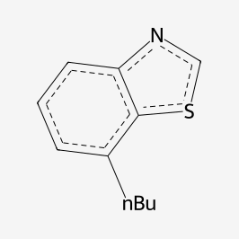 [CH2]CCCc1cccc2ncsc12